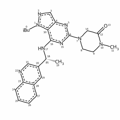 CCC(C)n1ncc2nc(N3CCN(C)C(=O)C3)nc(N[C@H](C)c3cnc4ccccc4c3)c21